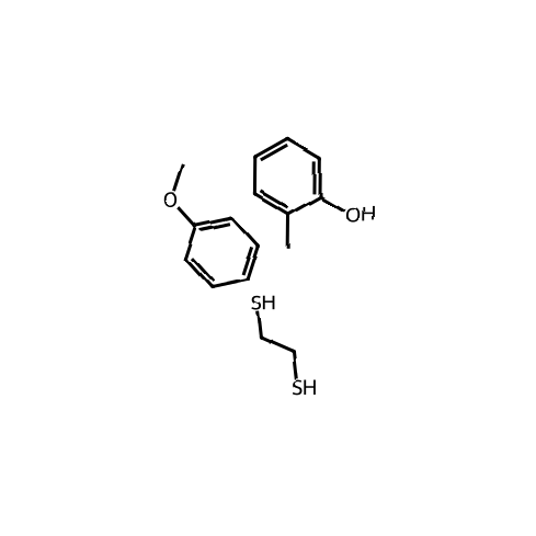 COc1ccccc1.Cc1ccccc1O.SCCS